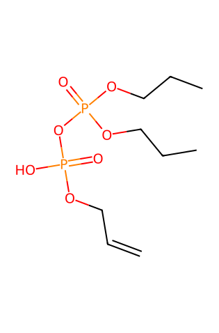 C=CCOP(=O)(O)OP(=O)(OCCC)OCCC